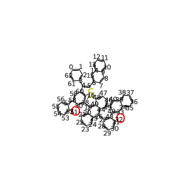 c1ccc(-c2c(-c3ccc4ccccc4c3)sc3c(-c4c5ccccc5c(-c5cccc6oc7c8ccccc8ccc7c56)c5ccccc45)c4oc5ccccc5c4cc23)cc1